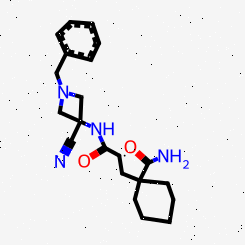 N#CC1(NC(=O)[CH]CC2(C(N)=O)CCCCC2)CN(Cc2ccccc2)C1